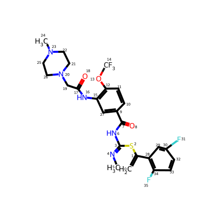 C=C(S/C(=N\C)NC(=O)c1ccc(OC(F)(F)F)c(NC(=O)CN2CCN(C)CC2)c1)c1cc(F)ccc1F